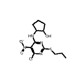 CCCSc1nc(Cl)c([N+](=O)[O-])c(NC2CCCC2O)n1